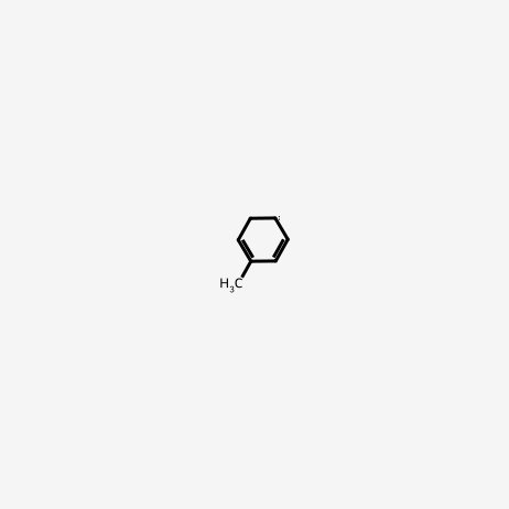 CC1=CC[C]C=C1